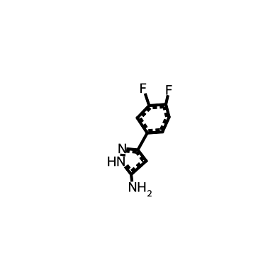 Nc1cc(-c2ccc(F)c(F)c2)n[nH]1